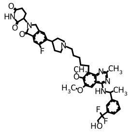 COc1cc2c(NC(C)c3cccc(C(F)(F)CO)c3)nc(C)nc2c(CCCCCN2CCC(c3cc4c(cc3F)C(=O)N(C3CCC(=O)NC3=O)C4)CC2)c1OC